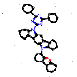 c1ccc(-c2nc(-c3ccccc3)nc(-n3c4ccccc4c4cc5c(cc43)c3ccccc3n5-c3cccc4c3oc3ccccc34)n2)cc1